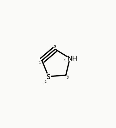 C1#CS[CH]N1